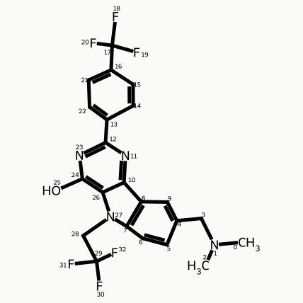 CN(C)Cc1ccc2c(c1)c1nc(-c3ccc(C(F)(F)F)cc3)nc(O)c1n2CC(F)(F)F